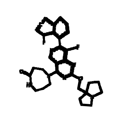 O=C1CCN(c2nc(OCC34CCCN3CCC4)nc3c(F)c(-c4cccc5cccc(F)c45)ncc23)CCCN1